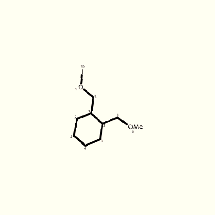 COCC1CCCCC1COI